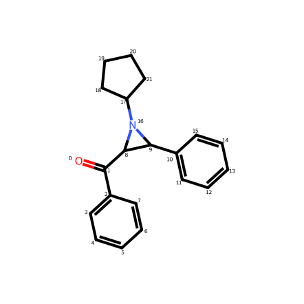 O=C(c1ccccc1)C1C(c2ccccc2)N1C1CCCC1